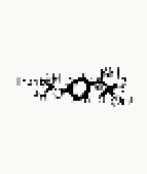 [2H]C([2H])(Oc1ccc([C@@H](N)C(C)(C)O)cc1)[C@H](C)CCC